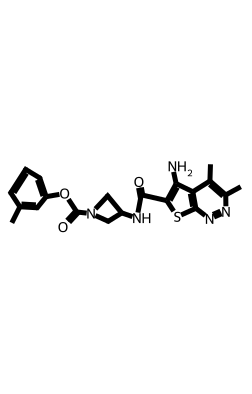 Cc1cccc(OC(=O)N2CC(NC(=O)c3sc4nnc(C)c(C)c4c3N)C2)c1